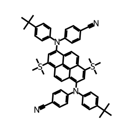 CC(C)(C)c1ccc(N(c2ccc(C#N)cc2)c2cc(S(C)(C)C)c3ccc4c(N(c5ccc(C#N)cc5)c5ccc(C(C)(C)C)cc5)cc(S(C)(C)C)c5ccc2c3c45)cc1